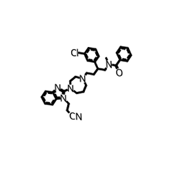 CN(CC(CCN1CCCN(c2nc3ccccc3n2CCC#N)CC1)c1cccc(Cl)c1)C(=O)c1ccccc1